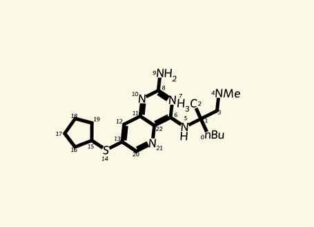 CCCCC(C)(CNC)Nc1nc(N)nc2cc(SC3CCCC3)cnc12